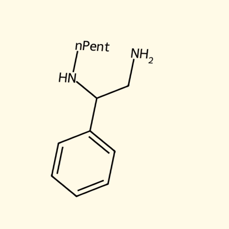 CCCCCNC(CN)c1ccccc1